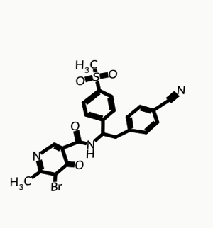 CC1=NC=C(C(=O)NC(Cc2ccc(C#N)cc2)c2ccc(S(C)(=O)=O)cc2)C(=O)C1Br